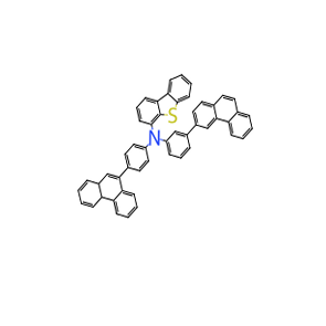 C1=CC2C=C(c3ccc(N(c4cccc(-c5ccc6ccc7ccccc7c6c5)c4)c4cccc5c4sc4ccccc45)cc3)c3ccccc3C2C=C1